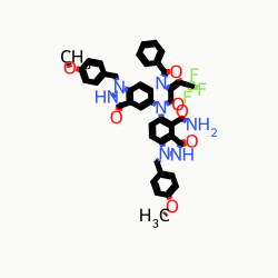 COc1ccc(Cn2[nH]c(=O)c3cc(N(C(=O)c4nc(-c5ccccc5)oc4C(F)(F)F)c4ccc5c(c4C(N)=O)c(=O)[nH]n5Cc4ccc(OC)cc4)ccc32)cc1